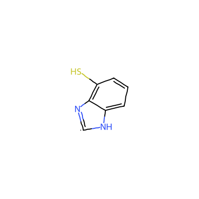 Sc1cccc2[nH][c]nc12